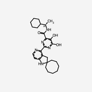 C[C@@H](NC(=O)c1nc(-c2nccc3c2CC2(CCCCCCC2)N3)nc(O)c1O)C1CCCCC1